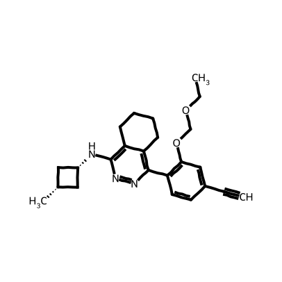 C#Cc1ccc(-c2nnc(N[C@H]3C[C@@H](C)C3)c3c2CCCC3)c(OCOCC)c1